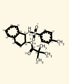 Cc1ccc(S(=O)(=O)N[C@H]2c3ccccc3C=C[C@@H]2OC(=O)C(C)(C)C)cc1